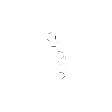 Cc1c(-c2cnc([N+]3(O)CCc4ccsc4C3)s2)sc2ccccc12